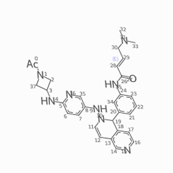 CC(=O)N1CC(Nc2ccc(NN3C=Cc4cnccc4C3c3cccc(NC(=O)/C=C/CN(C)C)c3)cn2)C1